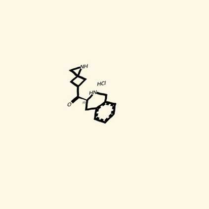 Cl.O=C(C1CC2(CN2)C1)[C@@H]1Cc2ccccc2CN1